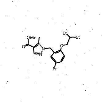 CCC(CC)COc1ccc(Br)cc1Cn1ncc(C(=O)OC)c1C